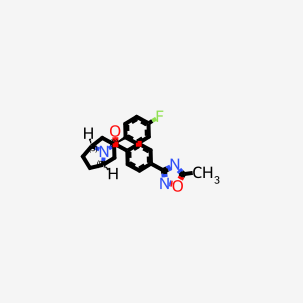 Cc1nc(-c2ccc(C(=O)N3[C@@H]4CC[C@H]3C[C@@H](c3ccc(F)cc3)C4)cc2)no1